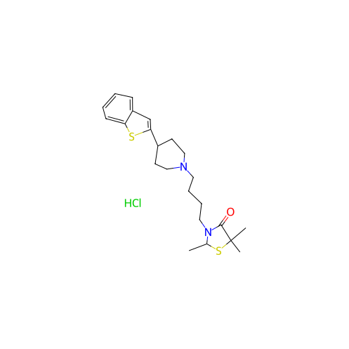 CC1SC(C)(C)C(=O)N1CCCCN1CCC(c2cc3ccccc3s2)CC1.Cl